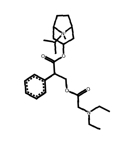 CCN(CC)CC(=O)OCC(C(=O)OC1CC2CCC(C1)[N+]2(C)C(C)C)c1ccccc1